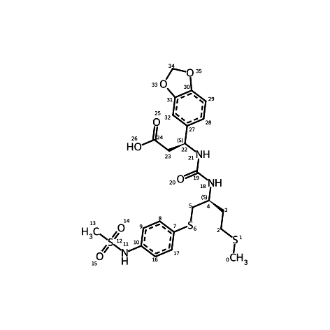 CSCC[C@@H](CSc1ccc(NS(C)(=O)=O)cc1)NC(=O)N[C@@H](CC(=O)O)c1ccc2c(c1)OCO2